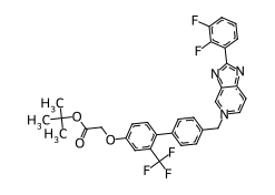 CC(C)(C)OC(=O)COc1ccc(-c2ccc(Cn3ccc4nc(-c5cccc(F)c5F)nc-4c3)cc2)c(C(F)(F)F)c1